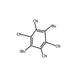 [C-]#[N+]c1c(C#N)c(C(C)(C)C)c(C#N)c(C#N)c1C(C)(C)C